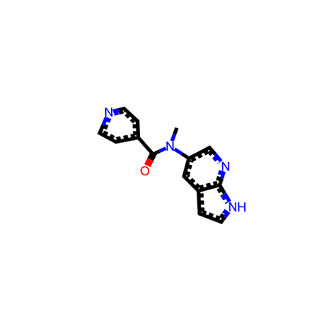 CN(C(=O)c1ccncc1)c1cnc2[nH]ccc2c1